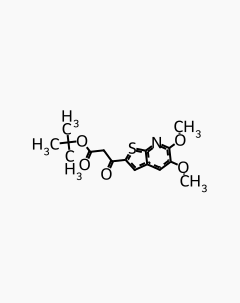 COc1cc2cc(C(=O)CC(=O)OC(C)(C)C)sc2nc1OC